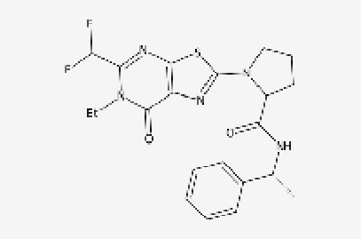 CCn1c(C(F)F)nc2sc(N3CCCC3C(=O)N[C@H](C)c3ccccc3)nc2c1=O